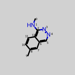 CNc1nncc2cc(C)ccc12